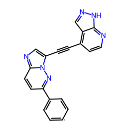 C(#Cc1cnc2ccc(-c3cc[c]cc3)nn12)c1ccnc2[nH]ncc12